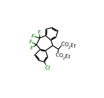 CCOC(=O)C(C(=O)OCC)C1c2ccccc2C(F)(F)C(F)(F)c2ccc(Cl)cc21